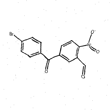 O=Cc1cc(C(=O)c2ccc(Br)cc2)ccc1[N+](=O)[O-]